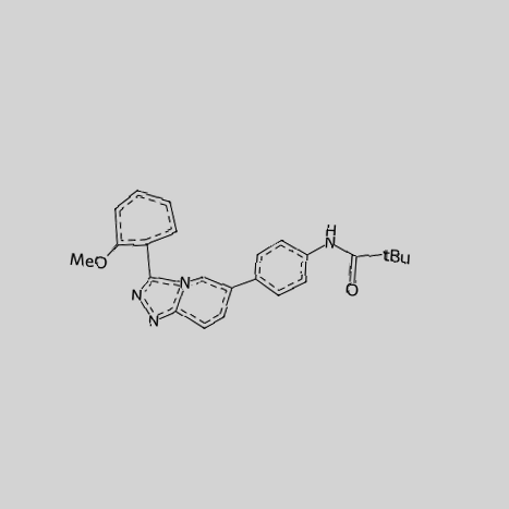 COc1ccccc1-c1nnc2ccc(-c3ccc(NC(=O)C(C)(C)C)cc3)cn12